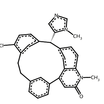 Cn1cncc1[C@H]1c2ccc(Cl)c(c2)CCc2cccc(c2)-c2cc(=O)n(C)c3ccc1cc23